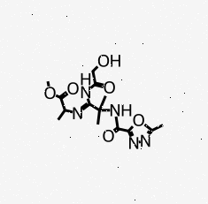 COC(=O)C(C)/N=C(\NC(=O)CO)C(C)(C)NC(=O)c1nnc(C)o1